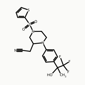 CC(O)(c1ccc(N2CCN(S(=O)(=O)c3cccs3)CC2CC#N)cc1)C(F)(F)F